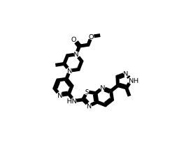 COCC(=O)N1CCN(c2ccnc(Nc3nc4ccc(-c5cn[nH]c5C)nc4s3)c2)C(C)C1